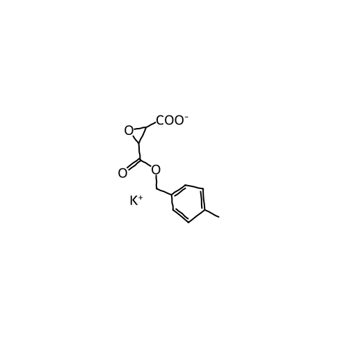 Cc1ccc(COC(=O)C2OC2C(=O)[O-])cc1.[K+]